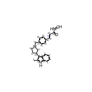 Cc1[nH]c2ccccc2c1C1CCN(Cc2ccc(/C=C/C(=O)NO)cc2)C1